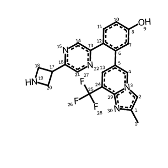 Cc1cn2cc(-c3cc(O)ccc3-c3cnc(C4CNC4)cn3)cc(C(F)(F)F)c2n1